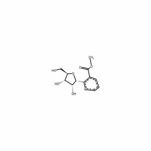 COC(=O)c1cccnc1[C@H]1O[C@H](CO)[C@@H](O)[C@H]1O